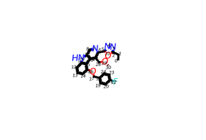 CCc1nnc(-c2ncc3[nH]c4cccc(OCc5ccc(F)cc5)c4c3c2COC)o1